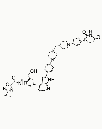 C[C@@H](NC(=O)c1nc(C(C)(C)C)no1)c1ccc(-c2ncnc3[nH]c(-c4ccc(N5CCN(CC6CCN(c7ccc(N8CCC(=O)NC8=O)cc7)CC6)CC5)cc4)cc23)cc1CO